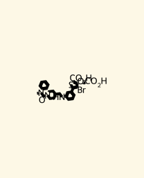 CN(C(=O)N1CCC(CNc2cccc(-c3sc(C(=O)O)c(OCC(=O)O)c3Br)c2)CC1)c1ccccc1